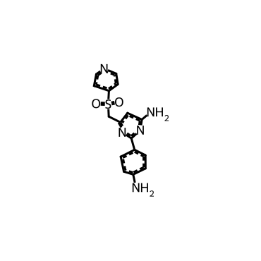 Nc1ccc(-c2nc(N)cc(CS(=O)(=O)c3ccncc3)n2)cc1